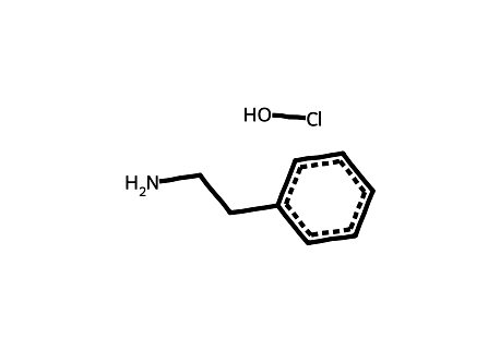 NCCc1ccccc1.OCl